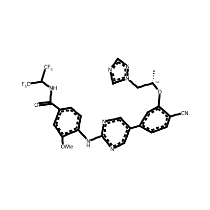 COc1cc(C(=O)NC(C(F)(F)F)C(F)(F)F)ccc1Nc1ncc(-c2ccc(C#N)c(O[C@@H](C)Cn3cncn3)c2)cn1